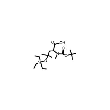 CC[Si](CC)(CC)OC(C)(C)C[C@@H](C(=O)O)N(C)C(=O)OC(C)(C)C